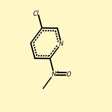 C[N+](=O)c1ccc(Cl)cn1